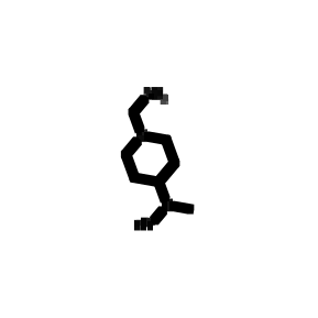 CCCN(C)C1CCN(CN)CC1